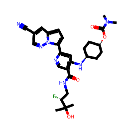 CN(C)C(=O)O[C@H]1CC[C@H](Nc2cc(-c3ccc4cc(C#N)cnn34)ncc2C(=O)NC[C@@H](F)C(C)(C)O)CC1